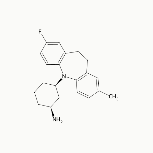 Cc1ccc2c(c1)CCc1cc(F)ccc1N2[C@@H]1CCC[C@H](N)C1